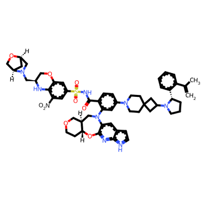 C=C(C)c1ccccc1[C@@H]1CCCN1C1CC2(CCN(c3ccc(C(=O)NS(=O)(=O)c4cc5c(c([N+](=O)[O-])c4)N[C@@H](CN4C[C@H]6C[C@@H]4CO6)CO5)c(N4C[C@@H]5COCC[C@H]5Oc5nc6[nH]ccc6cc54)c3)CC2)C1